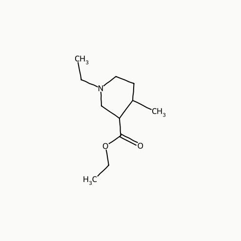 CCOC(=O)C1CN(CC)CCC1C